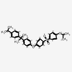 CC(C)Oc1ccc(S(=O)(=O)c2ccc(Oc3ccc(C(C)(C)c4ccc(C(C)C)cc4)cc3)cc2)cc1